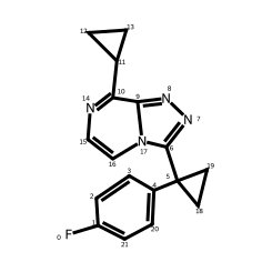 Fc1ccc(C2(c3nnc4c(C5CC5)nccn34)CC2)cc1